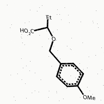 CCC(OCc1ccc(OC)cc1)C(=O)O